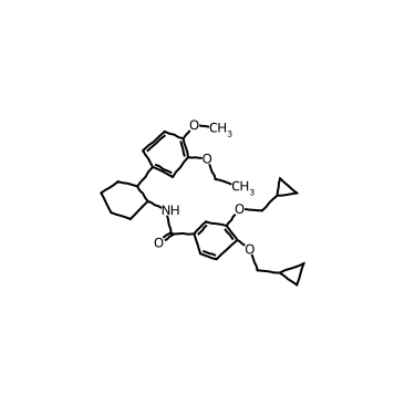 CCOc1cc(C2CCCCC2NC(=O)c2ccc(OCC3CC3)c(OCC3CC3)c2)ccc1OC